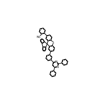 N#Cc1ccccc1-c1ccc2c(c1)C1(c3cc(-c4cccc(-c5cc(-c6ccccc6)nc(-c6ccccc6)n5)c4)ccc3S2)c2ccccc2-c2ccccc21